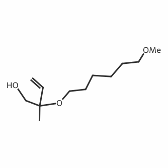 C=CC(C)(CO)OCCCCCCOC